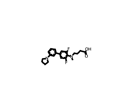 CN(CCCC(=O)O)c1c(F)cc(-c2cccc(N3CCCC3)c2)cc1F